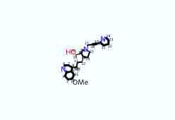 COc1ccc2nccc([C@@H](F)CC[C@@H]3CCN(CC#Cc4ccccn4)C[C@@H]3CO)c2c1